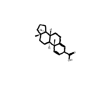 C[C@@]12CCC[C@H]1[C@@H]1CCC3=CC(C(O)=S)C=C[C@]3(C)[C@H]1CC2